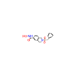 O=C(NO)c1ccc2c(c1)CCN(S(=O)(=O)Cc1ccccc1)C2